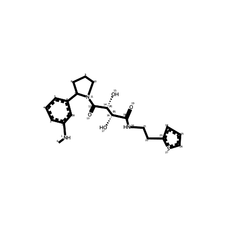 CNc1cccc(C2CCCN2C(=O)[C@H](O)[C@@H](O)C(=O)NCCc2cccs2)c1